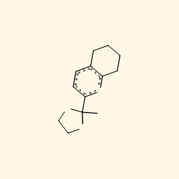 CC1(c2ccc3c(n2)CCCC3)OCCO1